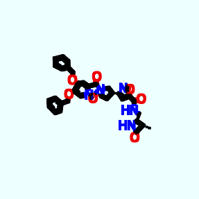 C[C@@H]1C(=O)N[C@H]1CNC(=O)c1cc([C@@H]2CCN(C(=O)c3cc(OCc4ccccc4)c(OCc4ccccc4)c[n+]3[O-])C2)no1